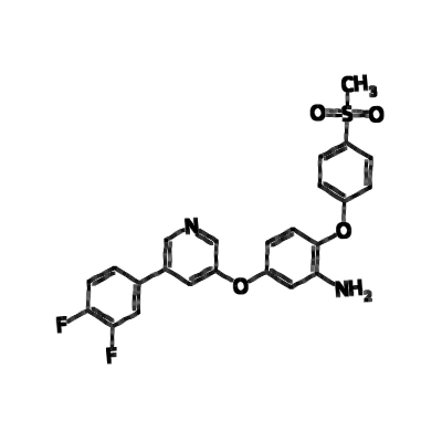 CS(=O)(=O)c1ccc(Oc2ccc(Oc3cncc(-c4ccc(F)c(F)c4)c3)cc2N)cc1